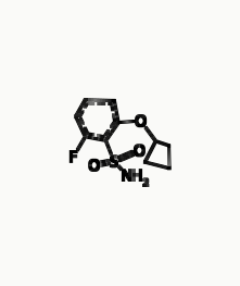 NS(=O)(=O)c1c(F)cccc1OC1CCC1